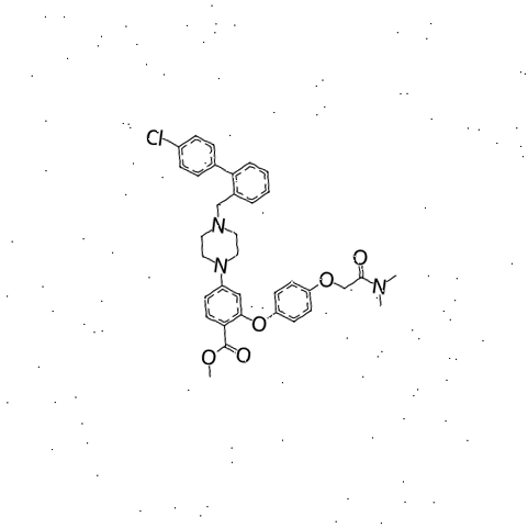 COC(=O)c1ccc(N2CCN(Cc3ccccc3-c3ccc(Cl)cc3)CC2)cc1Oc1ccc(OCC(=O)N(C)C)cc1